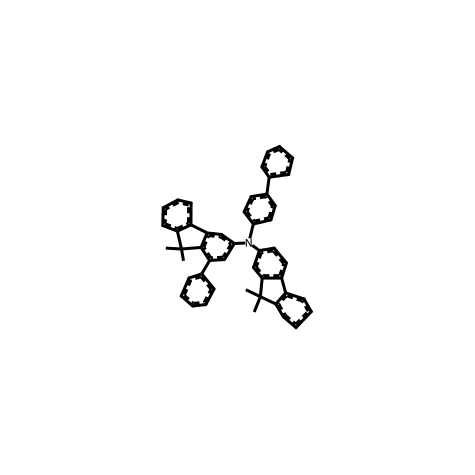 CC1(C)c2ccccc2-c2ccc(N(c3ccc(-c4ccccc4)cc3)c3cc(-c4ccccc4)c4c(c3)-c3ccccc3C4(C)C)cc21